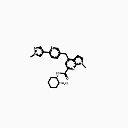 Cn1cc(-c2ccc(Cc3cc(C(=O)N[C@H]4CCCC[C@@H]4O)nc4c3ccn4C)cn2)cn1